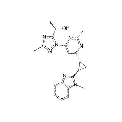 Cc1nc([C@@H]2C[C@H]2c2nc3ccccc3n2C)cc(-n2nc(C)nc2[C@@H](C)O)n1